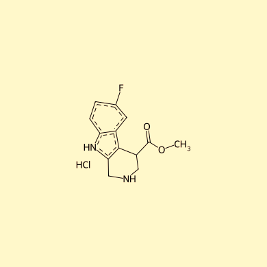 COC(=O)C1CNCc2[nH]c3ccc(F)cc3c21.Cl